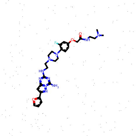 CN(C)CCNC(=O)COc1ccc(N2CCN(CCNc3nc(N)n4nc(-c5ccco5)cc4n3)CC2)c(F)c1